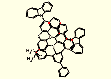 CC(C)(C)c1cc2c3c(c1)N(c1c(-c4ccccc4)cc(-c4ccccc4)cc1-c1ccccc1)c1cc(-n4c5ccccc5c5ccccc54)cc(-c4ccccc4)c1B3c1c(cc(-n3c4ccccc4c4ccccc43)cc1-c1ccccc1)S2